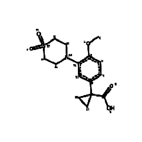 COc1ccc(C2(C(=O)O)CC2)cc1N1CCS(=O)(=O)CC1